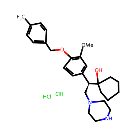 COc1cc([C@H](CN2CCNCC2)C2(O)CCCCC2)ccc1OCc1ccc(C(F)(F)F)cc1.Cl.Cl